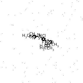 CC(C)Oc1ccc(-c2nnc(-c3cc(F)c(OCC4COC(C)(C)N4C(=O)OC(C)(C)C)cc3Cl)s2)cn1